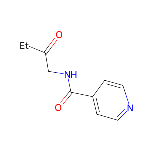 CCC(=O)CNC(=O)c1ccncc1